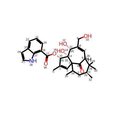 CC1=CC23C(=O)[C@@H](C=C(CO)[C@@H](O)[C@]2(O)[C@H]1OC(=O)c1cccc2cc[nH]c12)C(C)(C)[C@@H](C)CC3C